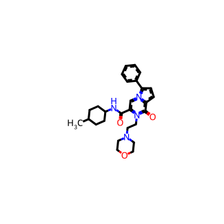 CC1CCC(NC(=O)c2cn3c(-c4ccccc4)ccc3c(=O)n2CCN2CCOCC2)CC1